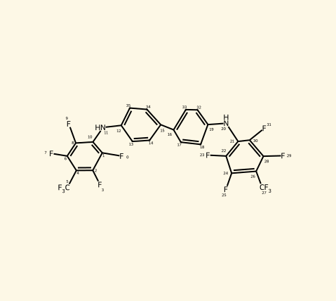 Fc1c(F)c(C(F)(F)F)c(F)c(F)c1Nc1ccc(-c2ccc(Nc3c(F)c(F)c(C(F)(F)F)c(F)c3F)cc2)cc1